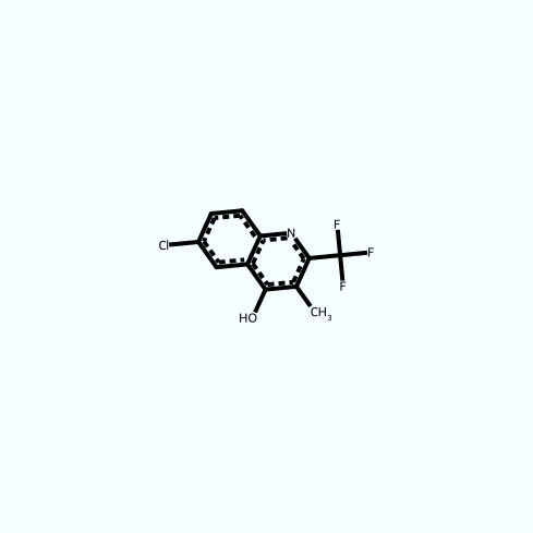 Cc1c(C(F)(F)F)nc2ccc(Cl)cc2c1O